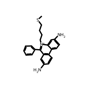 CSCCCC[n+]1c(-c2ccccc2)c2cc(N)ccc2c2ccc(N)cc21